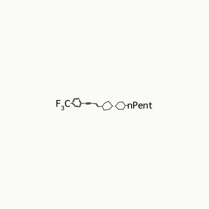 CCCCC[C@H]1CC[C@H](C2CCC(C=CC#Cc3ccc(C(F)(F)F)cc3)CC2)CC1